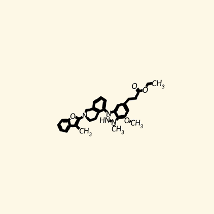 CCOC(=O)CCc1cc(OC)c2c(c1)N(c1cccc3c1CCN(c1oc4ccccc4c1C)C3)NN2C